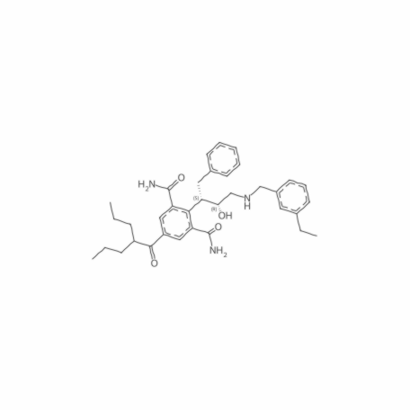 CCCC(CCC)C(=O)c1cc(C(N)=O)c([C@H](Cc2ccccc2)[C@@H](O)CNCc2cccc(CC)c2)c(C(N)=O)c1